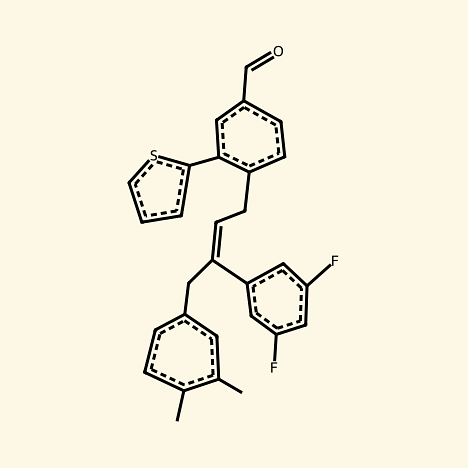 Cc1ccc(CC(=CCc2ccc(C=O)cc2-c2cccs2)c2cc(F)cc(F)c2)cc1C